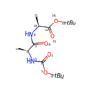 C[C@H](NC(=O)OC(C)(C)C)C(=O)N[C@@H](C)C(=O)OC(C)(C)C